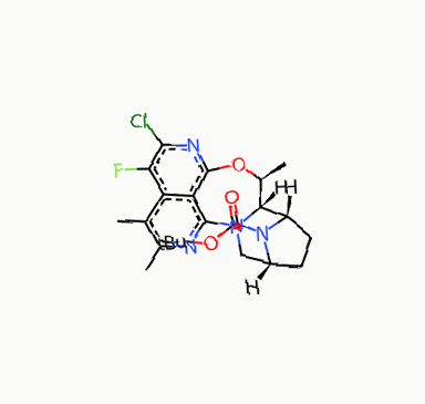 Cc1nc2c3c(nc(Cl)c(F)c3c1C)O[C@@H](C)[C@@H]1[C@@H]3CC[C@H](CN21)N3C(=O)OC(C)(C)C